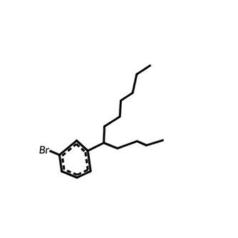 CCCCCCC(CCCC)c1cccc(Br)c1